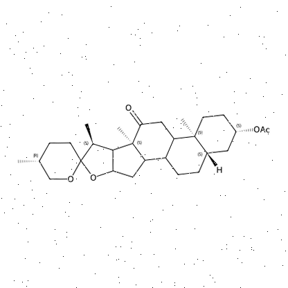 CC(=O)O[C@H]1CC[C@]2(C)C3CC(=O)[C@@]4(C)C(CC5OC6(CC[C@@H](C)CO6)[C@@H](C)C54)C3CC[C@H]2C1